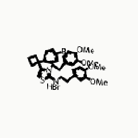 Br.COc1ccc(CC/N=c2/scc(C3(c4ccc(Br)cc4)CCC3)n2CCc2ccc(OC)c(OC)c2)cc1OC